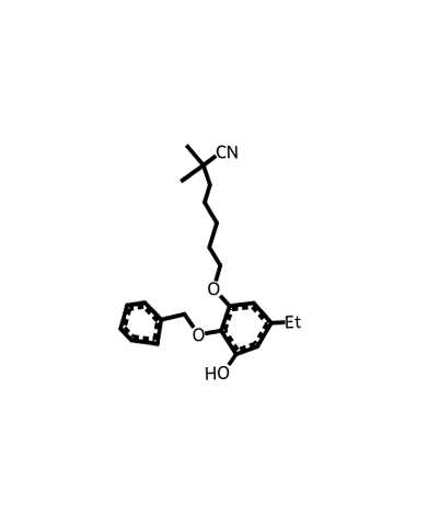 CCc1cc(O)c(OCc2ccccc2)c(OCCCCCC(C)(C)C#N)c1